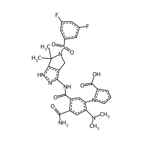 CN(C)c1cc(C(N)=O)c(C(=O)Nc2n[nH]c3c2CN(S(=O)(=O)c2cc(F)cc(F)c2)C3(C)C)cc1-n1cccc1C(=O)O